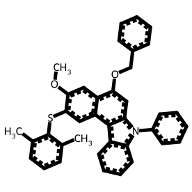 COc1cc2c(OCc3ccccc3)cc3c(c2cc1Sc1c(C)cccc1C)c1ccccc1n3-c1ccccc1